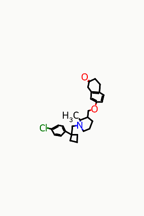 CC1C(COc2ccc3c(c2)CC(=O)CC3)CCCN1CC1(c2ccc(Cl)cc2)CCC1